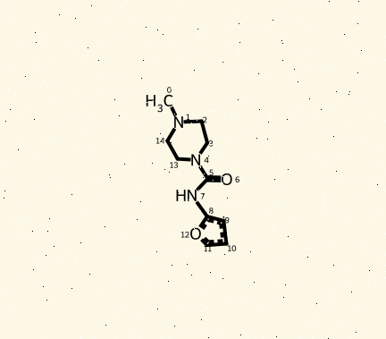 CN1CCN(C(=O)Nc2[c]cco2)CC1